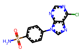 NS(=O)(=O)c1ccc(-n2cnc3c(Cl)ncnc32)cc1